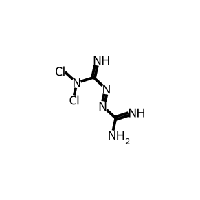 N=C(N)N=NC(=N)N(Cl)Cl